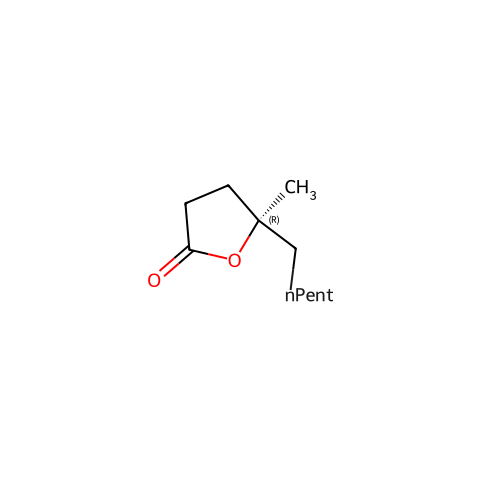 CCCCCC[C@]1(C)CCC(=O)O1